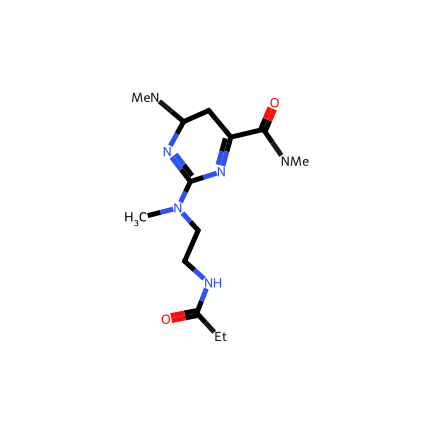 CCC(=O)NCCN(C)C1=NC(NC)CC(C(=O)NC)=N1